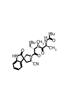 C[C@H](NC(=O)C(C)(C)C)C(=O)N(C)[C@@H](CC(C)(C)C)C(=O)N1C[C@]2(C[C@H]1C#N)C(=O)Nc1ccccc12